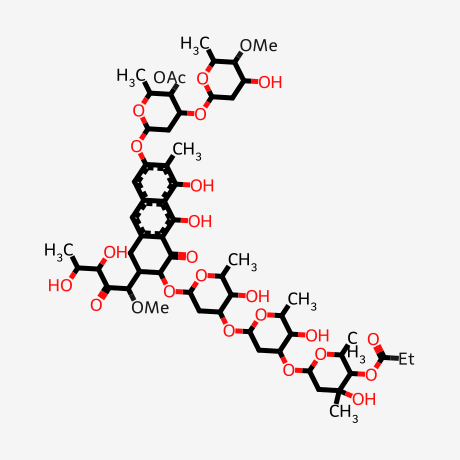 CCC(=O)OC1C(C)OC(OC2CC(OC3CC(OC4C(=O)c5c(cc6cc(OC7CC(OC8CC(O)C(OC)C(C)O8)C(OC(C)=O)C(C)O7)c(C)c(O)c6c5O)CC4C(OC)C(=O)C(O)C(C)O)OC(C)C3O)OC(C)C2O)CC1(C)O